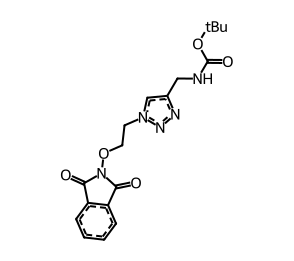 CC(C)(C)OC(=O)NCc1cn(CCON2C(=O)c3ccccc3C2=O)nn1